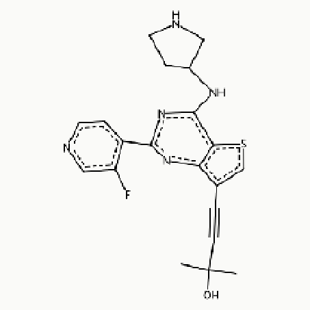 CC(C)(O)C#Cc1csc2c(NC3CCNC3)nc(-c3ccncc3F)nc12